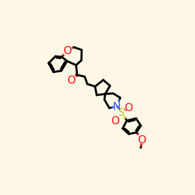 COc1ccc(S(=O)(=O)N2CCC3(CCC(CCC(=O)C4CCCOc5ccccc54)C3)CC2)cc1